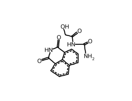 NC(=O)NC(=O)CO.O=C1NC(=O)c2cccc3cccc1c23